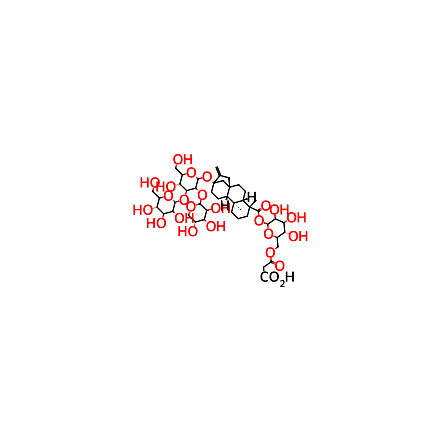 C=C1C[C@@]23CC[C@H]4[C@@](C)(CCC[C@@]4(C)C(=O)O[C@@H]4OC(COC(=O)CC(=O)O)[C@@H](O)C(O)[C@@H]4O)[C@@H]2CC[C@]1(O[C@@H]1OC(CO)[C@@H](O)C(O[C@@H]2OC(CO)[C@@H](O)C(O)C2O)C1O[C@@H]1OC[C@@H](O)C(O)C1O)C3